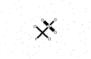 [O]S(=O)(=O)C(F)(Cl)Cl